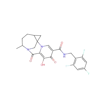 CC1CCC2CC23CN1C(=O)c1c(O)c(=O)c(C(=O)NCc2c(F)cc(F)cc2F)cn13